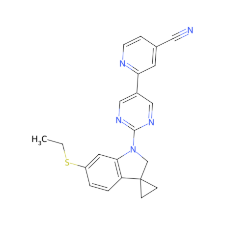 CCSc1ccc2c(c1)N(c1ncc(-c3cc(C#N)ccn3)cn1)CC21CC1